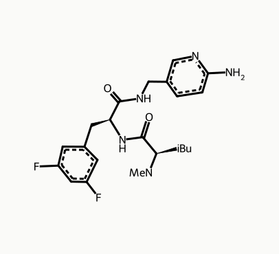 CCC(C)[C@@H](NC)C(=O)N[C@@H](Cc1cc(F)cc(F)c1)C(=O)NCc1ccc(N)nc1